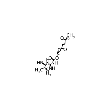 COC(=O)/C=C/C(=O)OCCOC(=O)NC(=N)NC(=N)N(C)C